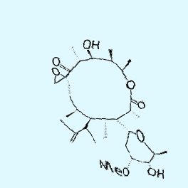 C=C(C)C(C)[C@H]1[C@@H](C)C[C@@]2(CO2)C(=O)[C@H](C)[C@@H](O)[C@@H](C)[C@@H](C)OC(=O)[C@H](C)C([C@H]2C[C@@H](OC)[C@@H](O)[C@H](C)O2)[C@@H]1C